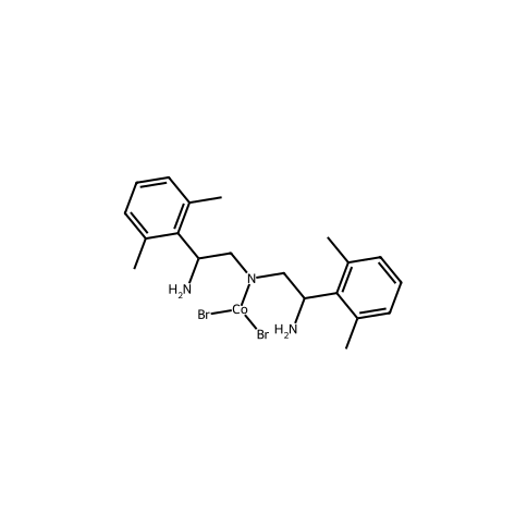 Cc1cccc(C)c1C(N)C[N](CC(N)c1c(C)cccc1C)[Co]([Br])[Br]